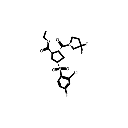 CCOC(=O)[C@@H]1C[C@@H](S(=O)(=O)c2ccc(F)cc2Cl)C[C@H]1C(=O)N1CCC(F)(F)C1